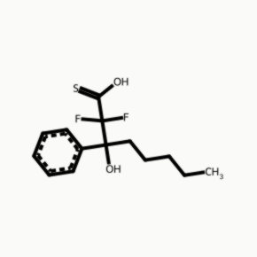 CCCCCC(O)(c1ccccc1)C(F)(F)C(O)=S